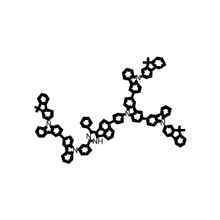 CC1(C)c2ccccc2-c2ccc(-n3c4ccccc4c4cc(-c5ccc6c(c5)c5ccccc5n6-c5cccc(C6N=C(c7ccccc7)C7=C(N6)c6cccc8c(-c9ccc(-n%10c%11ccc(-c%12ccc%13c(c%12)c%12ccccc%12n%13-c%12ccc%13c(c%12)C(C)(C)c%12ccccc%12-%13)cc%11c%11cc(-c%12ccc%13c(c%12)c%12ccccc%12n%13-c%12ccc%13c(c%12)C(C)(C)c%12ccccc%12-%13)ccc%11%10)cc9)ccc7c68)c5)ccc43)cc21